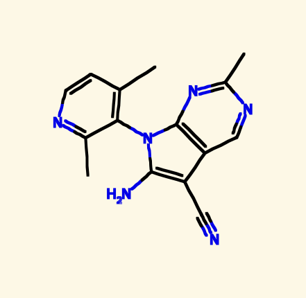 Cc1ncc2c(C#N)c(N)n(-c3c(C)ccnc3C)c2n1